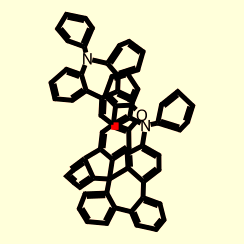 c1ccc(N(c2ccc3c(c2)-c2ccccc2N(c2ccccc2)c2ccccc2-3)c2ccc3c(c2)C2(c4ccccc4-c4ccccc4-3)c3ccccc3-c3cc4c(cc32)oc2ccccc24)cc1